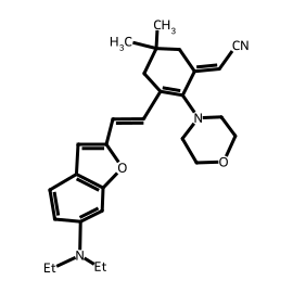 CCN(CC)c1ccc2cc(C=CC3=C(N4CCOCC4)C(=CC#N)CC(C)(C)C3)oc2c1